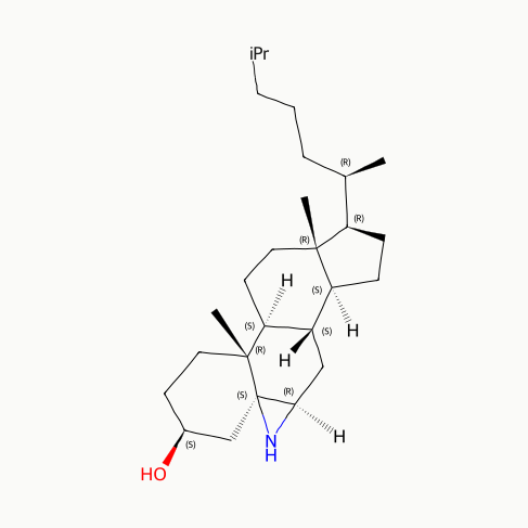 CC(C)CCC[C@@H](C)[C@H]1CC[C@H]2[C@@H]3C[C@H]4N[C@]45C[C@@H](O)CC[C@]5(C)[C@H]3CC[C@]12C